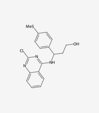 CSc1ccc(C(CCO)Nc2nc(Cl)nc3ccccc23)cc1